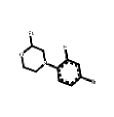 CCC1CN(c2ccc(Br)cc2F)CCO1